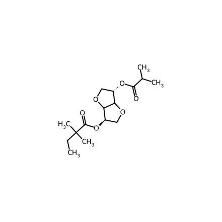 CCC(C)(C)C(=O)O[C@@H]1COC2C1OC[C@@H]2OC(=O)C(C)C